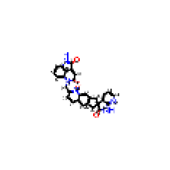 O=C1Nc2cccc3c2c1cc(=O)n3Cc1ccc2cc3c(cc2n1)CC1(C3)C(=O)Nc2ncccc21